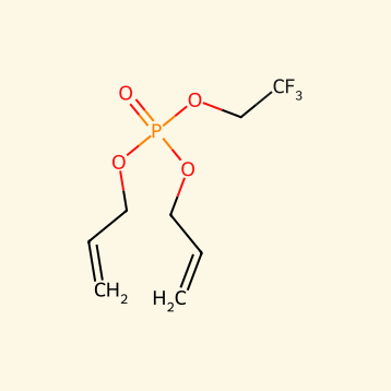 C=CCOP(=O)(OCC=C)OCC(F)(F)F